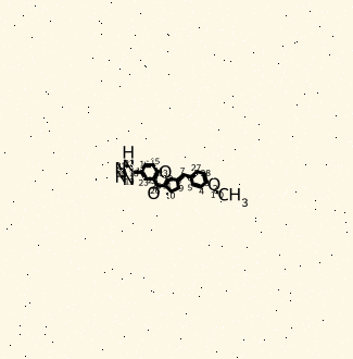 CCOc1ccc(C=C2CCc3c2oc2ccc(-c4nnn[nH]4)cc2c3=O)cc1